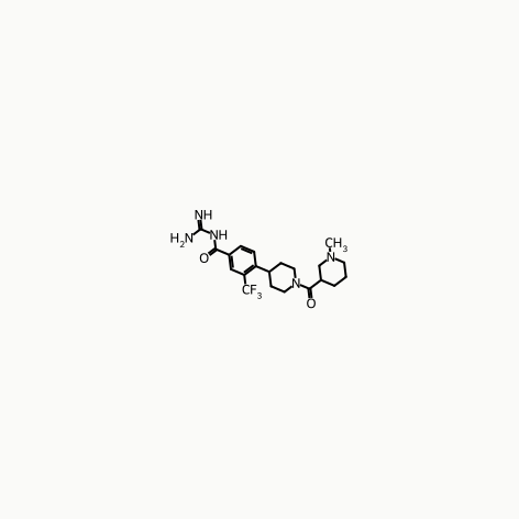 CN1CCCC(C(=O)N2CCC(c3ccc(C(=O)NC(=N)N)cc3C(F)(F)F)CC2)C1